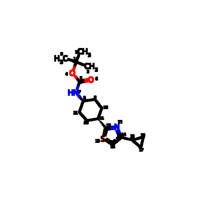 CC(C)(C)OC(=O)N[C@H]1CC[C@H](c2nc(C3CC3)cs2)CC1